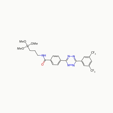 CO[Si](CCCNC(=O)c1ccc(-c2nnc(-c3cc(C(F)(F)F)cc(C(F)(F)F)c3)nn2)cc1)(OC)OC